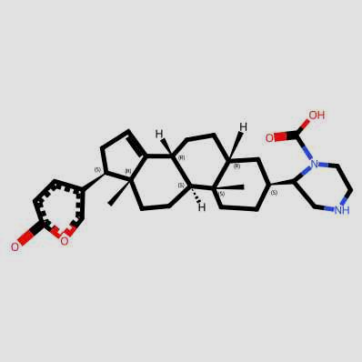 C[C@]12CC[C@H](C3CNCCN3C(=O)O)C[C@H]1CC[C@H]1C3=CC[C@H](c4ccc(=O)oc4)[C@@]3(C)CC[C@@H]12